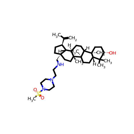 C=C(C)[C@@H]1CC[C@]2(CNCCN3CCN(S(C)(=O)=O)CC3)CC[C@]3(C)[C@H](CC[C@@H]4[C@@]5(C)CC[C@H](O)C(C)(C)[C@@H]5CC[C@]43C)[C@@H]12